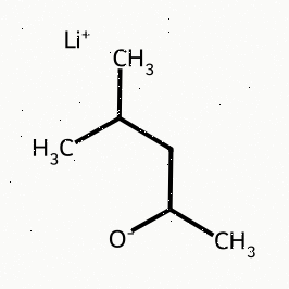 CC(C)CC(C)[O-].[Li+]